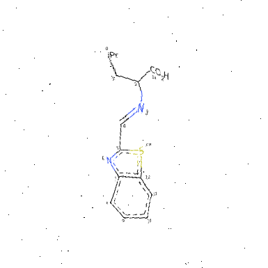 CC(C)CC(/N=C/c1nc2ccccc2s1)C(=O)O